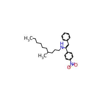 CCCCCCC(C)CCCNC(=Cc1ccccc1)c1ccc([N+](=O)[O-])cc1